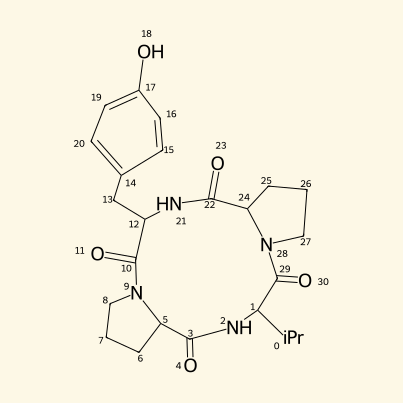 CC(C)C1NC(=O)C2CCCN2C(=O)C(Cc2ccc(O)cc2)NC(=O)C2CCCN2C1=O